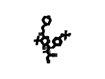 C[C@@H]([C@@H](Cc1ccc(OC(F)(F)F)cc1)C(=O)NC(C(=O)NCCN1CCOCC1)C(C)(C)C)N(O)C=O